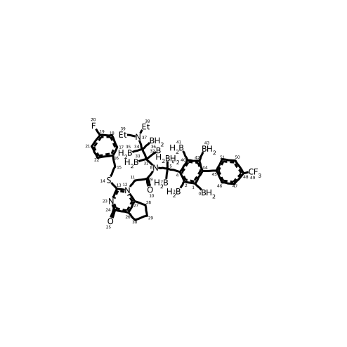 Bc1c(B)c(C(B)(B)N(C(=O)Cn2c(SCc3ccc(F)cc3)nc(=O)c3c2CCC3)C(B)(B)C(B)(B)N(CC)CC)c(B)c(B)c1-c1ccc(C(F)(F)F)cc1